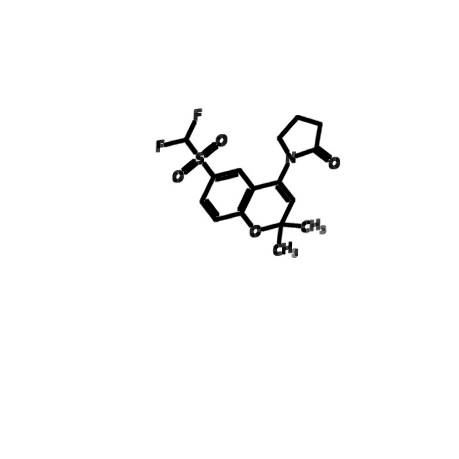 CC1(C)C=C(N2CCCC2=O)c2cc(S(=O)(=O)C(F)F)ccc2O1